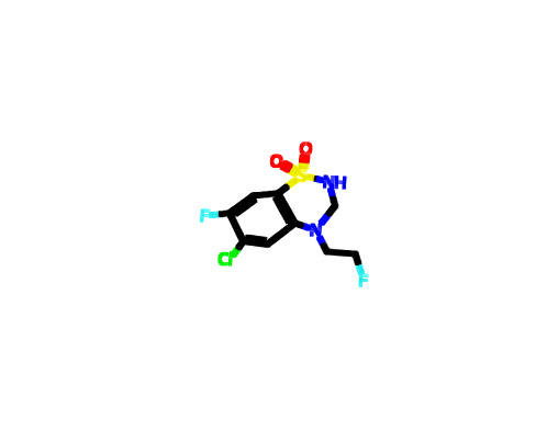 O=S1(=O)NCN(CCF)c2cc(Cl)c(F)cc21